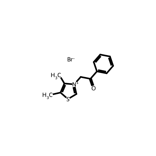 Cc1sc[n+](CC(=O)c2ccccc2)c1C.[Br-]